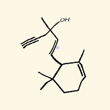 C#CC(C)(O)/C=C/C1C(C)=CCCC1(C)C